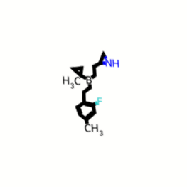 Cc1ccc(CCB(CCC2CN2)C2(C)CC2)c(F)c1